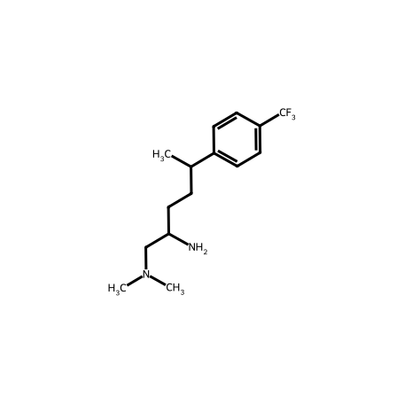 CC(CCC(N)CN(C)C)c1ccc(C(F)(F)F)cc1